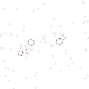 O=S(=O)(Nc1cc(C(O)CNCCOc2ccc3c(Cl)n[nH]c3c2)ccc1Cl)c1ccc[s+]1[O-]